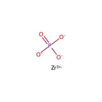 O=P([O-])([O-])[O-].[Zr+3]